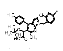 Cc1ccc(-c2c(C(OC(C)(C)C)C(=O)O)c(C)nc3c2ccn3Cc2ccc(F)cc2Cl)cc1